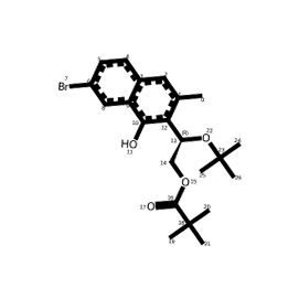 Cc1cc2ccc(Br)cc2c(O)c1[C@H](COC(=O)C(C)(C)C)OC(C)(C)C